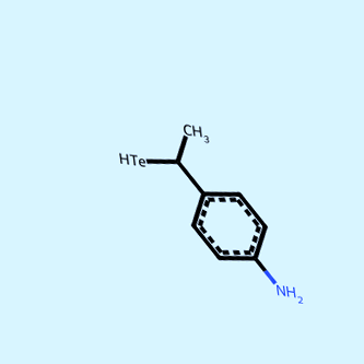 CC([TeH])c1ccc(N)cc1